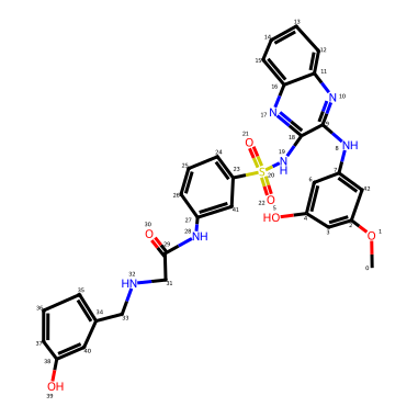 COc1cc(O)cc(Nc2nc3ccccc3nc2NS(=O)(=O)c2cccc(NC(=O)CNCc3cccc(O)c3)c2)c1